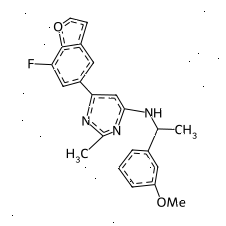 COc1cccc(C(C)Nc2cc(-c3cc(F)c4occc4c3)nc(C)n2)c1